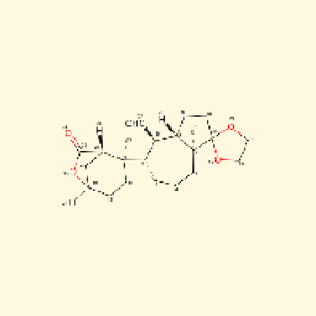 C[C@]1([C@H]2CCC[C@@]3(C)[C@@H](CCC34OCCO4)[C@@H]2C=O)CC[C@@H]2C[C@@H]1C(=O)O2